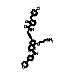 NCCCOc1cc(C#CCNC(=O)c2cccn(Cc3ccc(Cl)nc3)c2=O)cc2cnc(Nc3ccc(N4CCOCC4)cc3)nc12